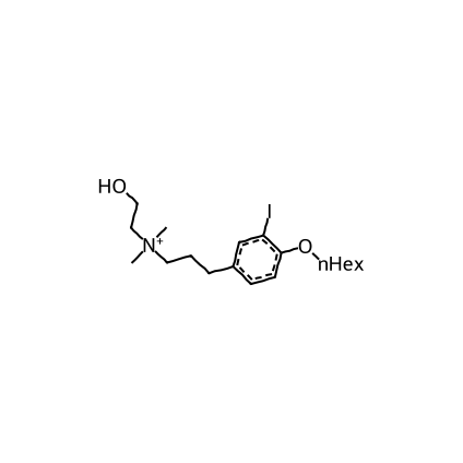 CCCCCCOc1ccc(CCC[N+](C)(C)CCO)cc1I